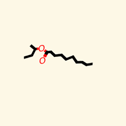 CCCCCCCCCC(=O)OC(C)CC